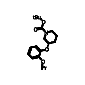 CC(C)Oc1ccccc1O[C@@H]1CCCN(C(=O)OC(C)(C)C)C1